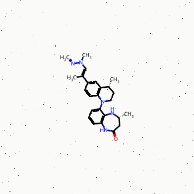 C=NN(C)/C=C(\C)c1ccc2c(c1)[C@H](C)CCN2c1cccc2c1N[C@H](C)CC(=O)N2